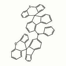 c1ccc(N(c2ccc3c(c2)C2(c4ccccc4Oc4ccccc42)c2ccccc2-3)c2cccc3c2-c2ccccc2C32c3ccccc3Sc3ccccc32)cc1